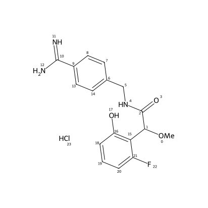 COC(C(=O)NCc1ccc(C(=N)N)cc1)c1c(O)cccc1F.Cl